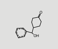 O=C1CCC(C(O)c2ccccc2)CC1